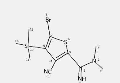 CN(C)C(=N)c1sc(Br)c([Si](C)(C)C)c1C#N